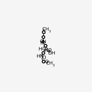 COc1cccc(CC(=O)Nc2ccc(C(O)N(CC(=O)O)Cc3ccc(-c4noc(-c5ccc(-c6ccc(C)cc6)cc5)n4)cc3)cc2)c1